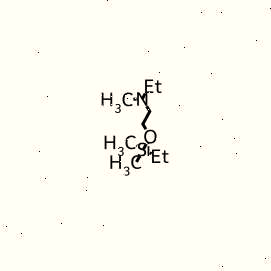 CCN(C)CCO[Si](C)(C)CC